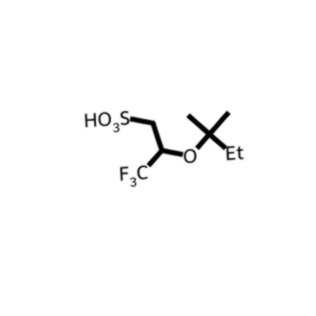 CCC(C)(C)OC(CS(=O)(=O)O)C(F)(F)F